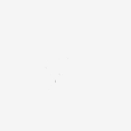 CC(C)=NOC(=O)[C@H](CC1CC1)NC(=O)C[C@@H]1CCC(=O)N1Cc1cc(F)cc(F)c1F